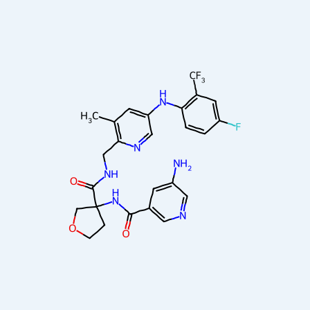 Cc1cc(Nc2ccc(F)cc2C(F)(F)F)cnc1CNC(=O)C1(NC(=O)c2cncc(N)c2)CCOC1